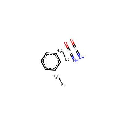 CCC.CCC.N=C=O.N=C=O.c1ccccc1